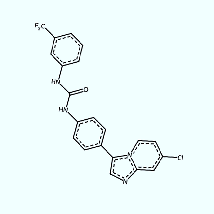 O=C(Nc1ccc(-c2cnc3cc(Cl)ccn23)cc1)Nc1cccc(C(F)(F)F)c1